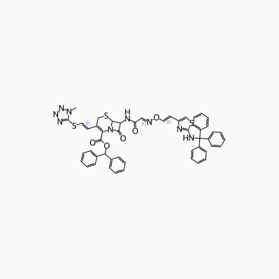 Cn1nnnc1S/C=C/C1=C(C(=O)OC(c2ccccc2)c2ccccc2)N2C(=O)C(NC(=O)/C=N/O/C=C/c3csc(NC(c4ccccc4)(c4ccccc4)c4ccccc4)n3)C2SC1